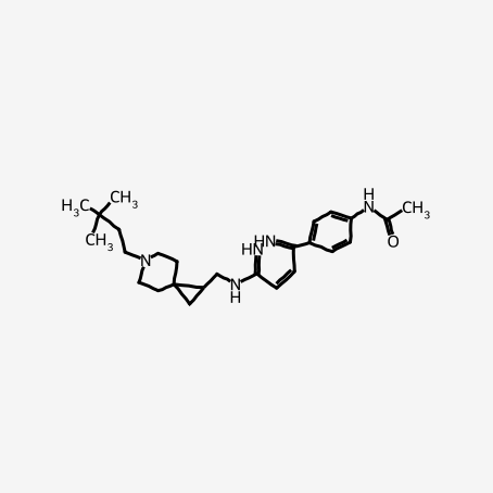 CC(=O)Nc1ccc(C(=N)/C=C\C(=N)NCC2CC23CCN(CCC(C)(C)C)CC3)cc1